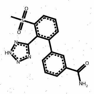 CS(=O)(=O)c1cccc(-c2cccc(C(N)=O)c2)c1-c1nn[nH]n1